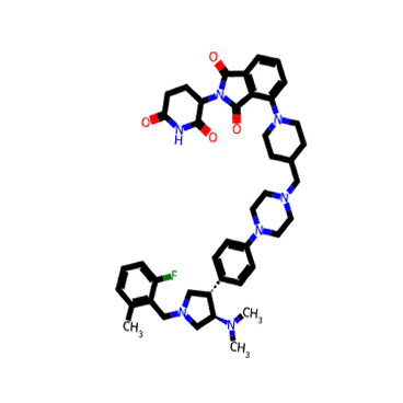 Cc1cccc(F)c1CN1C[C@H](c2ccc(N3CCN(CC4CCN(c5cccc6c5C(=O)N(C5CCC(=O)NC5=O)C6=O)CC4)CC3)cc2)[C@@H](N(C)C)C1